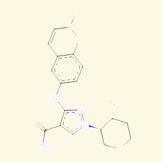 N#C[C@@H]1CCOC[C@H]1n1cc(C(N)=O)c(Nc2ccc3c(c2)C=CB(O)O3)n1